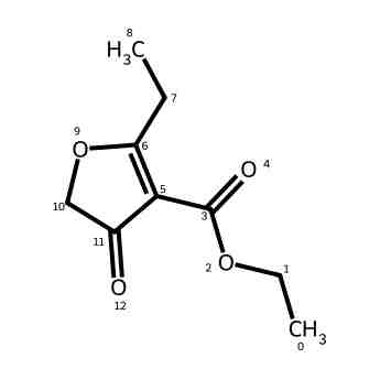 CCOC(=O)C1=C(CC)OCC1=O